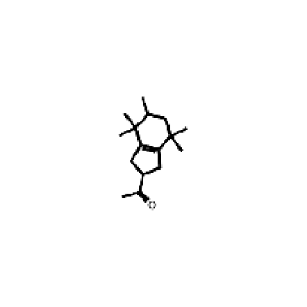 CC(=O)C1CC2=C(C1)C(C)(C)C(C)CC2(C)C